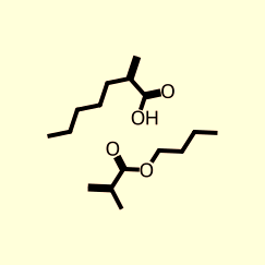 C=C(C)C(=O)OCCCC.C=C(CCCCC)C(=O)O